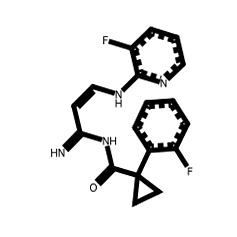 N=C(/C=C\Nc1ncccc1F)NC(=O)C1(c2ccccc2F)CC1